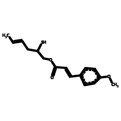 C/C=C/CC(S)COC(=O)/C=C/c1ccc(OC)cc1